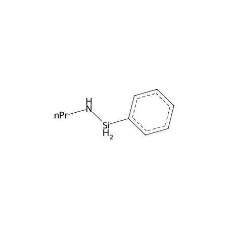 CCCN[SiH2]c1ccccc1